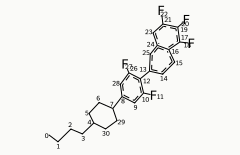 CCCCC1CCC(c2cc(F)c(-c3ccc4c(F)c(F)c(F)cc4c3)c(F)c2)CC1